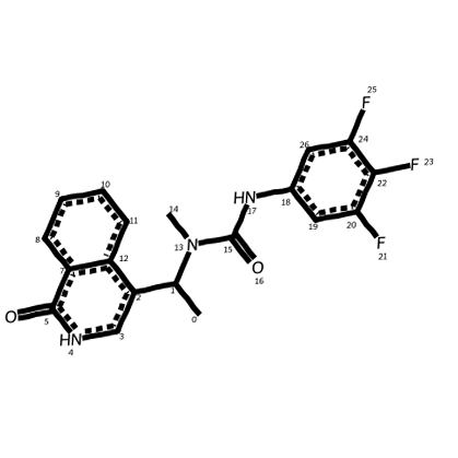 CC(c1c[nH]c(=O)c2ccccc12)N(C)C(=O)Nc1cc(F)c(F)c(F)c1